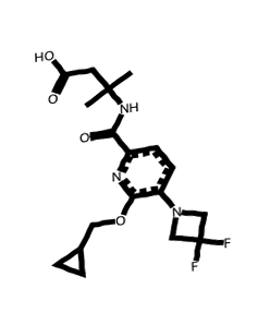 CC(C)(CC(=O)O)NC(=O)c1ccc(N2CC(F)(F)C2)c(OCC2CC2)n1